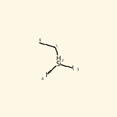 CC[SiH](I)I